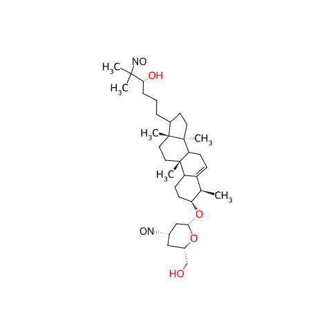 C[C@@H]1C2=CCC3[C@@](C)(CC[C@]4(C)C(CCC[C@@H](O)C(C)(C)N=O)CC[C@@]34C)C2CC[C@@H]1O[C@H]1C[C@@H](N=O)C[C@@H](CO)O1